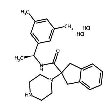 Cc1cc(C)cc([C@H](C)NC(=O)C2(N3CCNCC3)Cc3ccccc3C2)c1.Cl.Cl